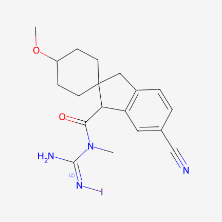 COC1CCC2(CC1)Cc1ccc(C#N)cc1C2C(=O)N(C)/C(N)=N\I